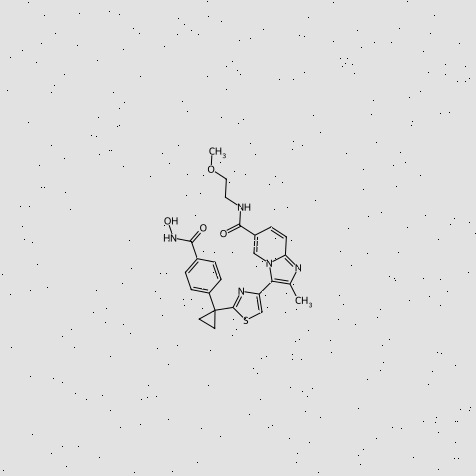 COCCNC(=O)c1ccc2nc(C)c(-c3csc(C4(c5ccc(C(=O)NO)cc5)CC4)n3)n2c1